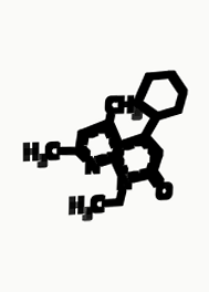 CCn1c(=O)cc(C2CCCCC2)c2c(C)cc(C)nc21